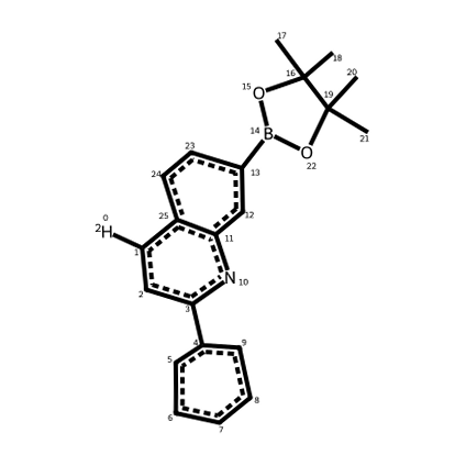 [2H]c1cc(-c2ccccc2)nc2cc(B3OC(C)(C)C(C)(C)O3)ccc12